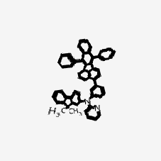 CC1(C)c2ccccc2-c2ccc(N(c3cccc(-c4ccc5c6c(cccc46)-c4c-5c(-c5ccccc5)c5ccccc5c4-c4ccccc4)c3)c3ccccn3)cc21